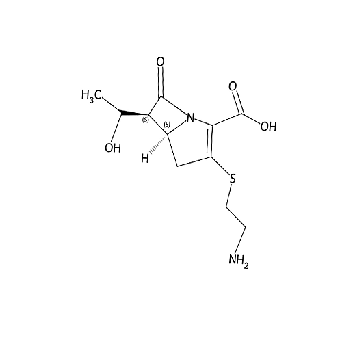 CC(O)[C@H]1C(=O)N2C(C(=O)O)=C(SCCN)C[C@@H]12